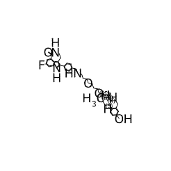 C[C@]12CC[C@@H]3c4ccc(O)cc4CC[C@H]3[C@@H]1CC[C@@H]2OCCCOCCCNCc1ccc(-c2[nH]c3cc(F)cc4c3c2CCNC4=O)cc1